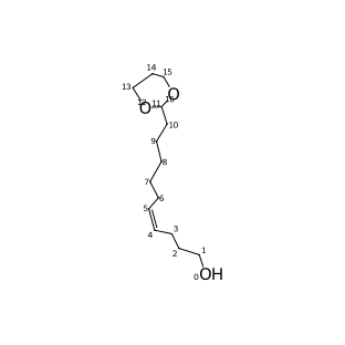 OCCC/C=C\CCCCCC1OCCCO1